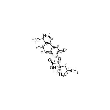 Cc1nccc2c1c(=O)[nH]c1cc(ON(C(=O)O)C(C)CC(C)C)c(Br)cc12